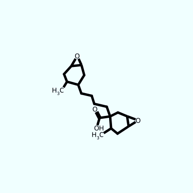 CC1CC2OC2CC1CCCCC1(C(=O)O)CC2OC2CC1C